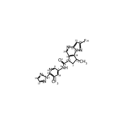 CC1CN(C(=O)Nc2cnc(-n3nccn3)c(C(F)(F)F)c2)c2cnc3cc(F)nn3c21